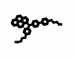 OCCOc1ccc(-c2ccc(N(c3ccc(OCCO)cc3)c3ccc4ccc5cccc6ccc3c4c56)cc2)cc1